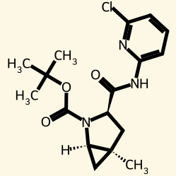 CC(C)(C)OC(=O)N1[C@@H](C(=O)Nc2cccc(Cl)n2)C[C@@]2(C)C[C@@H]12